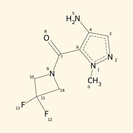 Cn1ncc(N)c1C(=O)N1CC(F)(F)C1